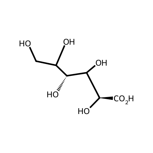 O=C(O)[C@@H](O)C(O)[C@H](O)C(O)CO